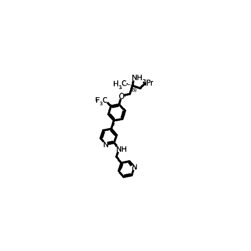 CC(C)C[C@](C)(N)COc1ccc(-c2ccnc(NCc3cccnc3)c2)cc1C(F)(F)F